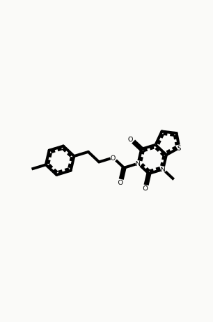 Cc1ccc(CCOC(=O)n2c(=O)c3ccsc3n(C)c2=O)cc1